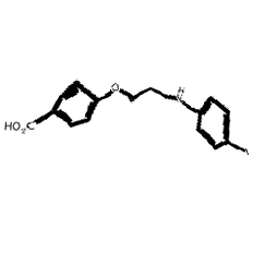 O=C(O)c1ccc(OCCCNc2ccc(I)cc2)cc1